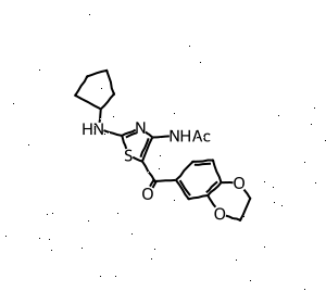 CC(=O)Nc1nc(NC2CCCC2)sc1C(=O)c1ccc2c(c1)OCCO2